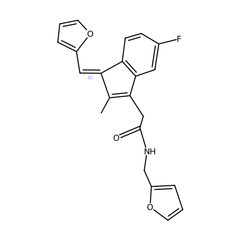 CC1=C(CC(=O)NCc2ccco2)c2cc(F)ccc2/C1=C\c1ccco1